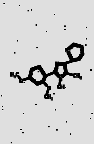 COc1ccc(-c2nc(-c3ccccn3)c(C)n2O)c(OC)c1